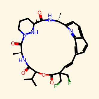 CC(C)C1OC(=O)C(CF)(CF)/C=C/c2ccc3ccc(nc3c2)[C@@H](C)NC(=O)[C@@H]2CCCN(N2)C(=O)[C@H](C)NC1=O